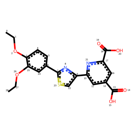 CCOc1ccc(-c2nc(-c3cc(C(=O)O)cc(C(=O)O)n3)cs2)cc1OCC